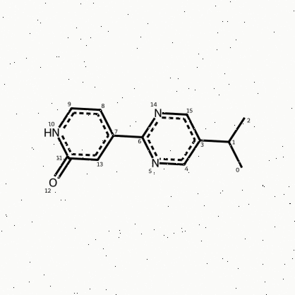 CC(C)c1cnc(-c2cc[nH]c(=O)c2)nc1